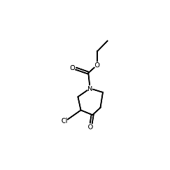 CCOC(=O)N1CCC(=O)C(Cl)C1